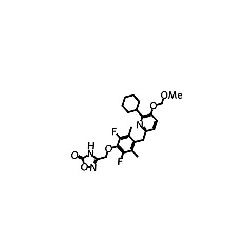 COCOc1ccc(Cc2c(C)c(F)c(OCc3noc(=O)[nH]3)c(F)c2C)nc1C1CCCCC1